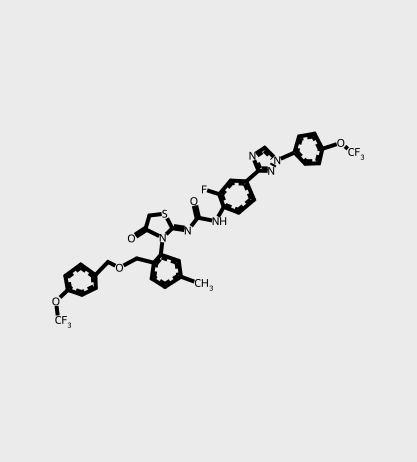 Cc1ccc(COCc2ccc(OC(F)(F)F)cc2)c(N2C(=O)CSC2=NC(=O)Nc2ccc(-c3ncn(-c4ccc(OC(F)(F)F)cc4)n3)cc2F)c1